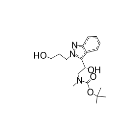 CN(C[C@@H](O)c1c2ccccc2nn1CCCO)C(=O)OC(C)(C)C